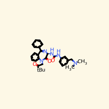 CN(C)Cc1cccc(NC(=O)N[C@@H]2N=C(c3ccccc3)c3ccccc3N(CC(=O)C(C)(C)C)C2=O)c1